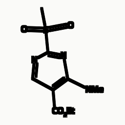 CCOC(=O)c1cnc(S(C)(=O)=O)nc1NC